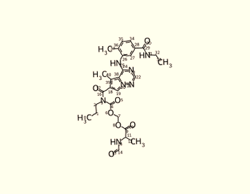 CCCN(C(=O)OCOC(=O)C(C)NC=O)C(=O)c1cn2ncnc(Nc3cc(C(=O)NCC)ccc3C)c2c1C